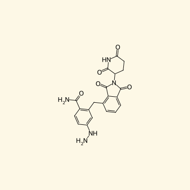 NNc1ccc(C(N)=O)c(Cc2cccc3c2C(=O)N(C2CCC(=O)NC2=O)C3=O)c1